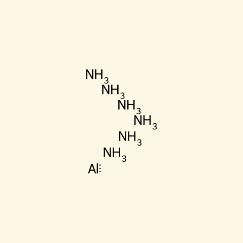 N.N.N.N.N.N.[Al]